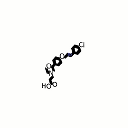 O=C(O)CCN1CCOC(c2ccc(OC/C=C/c3ccc(Cl)cc3)cc2)C1